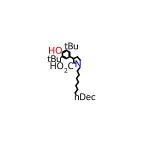 CCCCCCCCCCCCCCCCCCN1CCC(c2cc(C(C)(C)C)c(O)c(C(C)(C)C)c2)[C@H]1C(=O)O